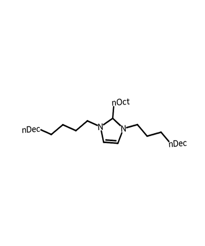 CCCCCCCCCCCCCCN1C=CN(CCCCCCCCCCCCC)C1CCCCCCCC